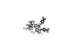 CC(CC[C@@H]1C[C@H](SC2=C(C(=O)O)N3C(=O)[C@H]([C@@H](C)O)[C@H]3[C@H]2C)CN1C(=O)OCc1ccc([N+](=O)[O-])cc1)N(C)C(=O)OCc1ccc([N+](=O)[O-])cc1